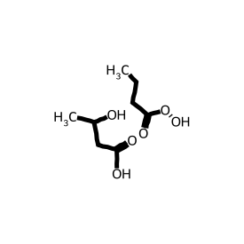 CC(O)CC(=O)O.CCCC(=O)OO